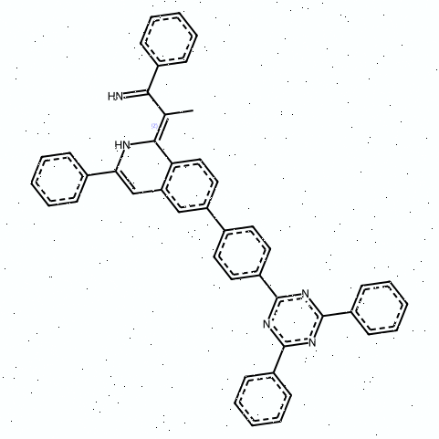 C/C(C(=N)c1ccccc1)=C1/NC(c2ccccc2)=Cc2cc(-c3ccc(-c4nc(-c5ccccc5)nc(-c5ccccc5)n4)cc3)ccc21